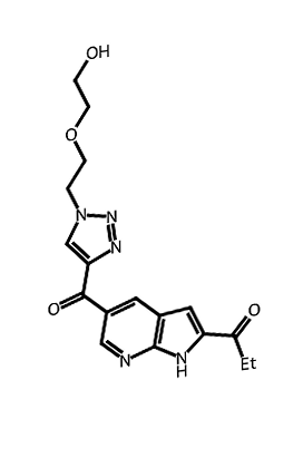 CCC(=O)c1cc2cc(C(=O)c3cn(CCOCCO)nn3)cnc2[nH]1